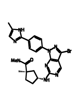 CNC(=O)[C@]1(C)CC[C@@H](Nc2ncc3c(Br)nn(-c4ccc(-c5ncc(C)[nH]5)cc4)c3n2)C1